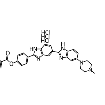 C=C(C)C(=O)Oc1ccc(-c2nc3cc(-c4nc5cc(N6CCN(C)CC6)ccc5[nH]4)ccc3[nH]2)cc1.Cl.Cl.Cl